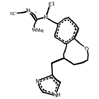 CCN(/C(=N/C#N)NC)c1ccc2c(c1)C(Cc1c[nH]cn1)CCO2